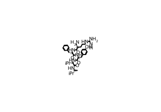 CC(C)[C@H](NC(=O)[C@H](Cc1ccc(O)cc1)NC(=O)[C@H](Cc1ccccc1)NC(=O)[C@@H](CN)CCCNC(=N)N)C(=O)N[C@H](C)C(C)C